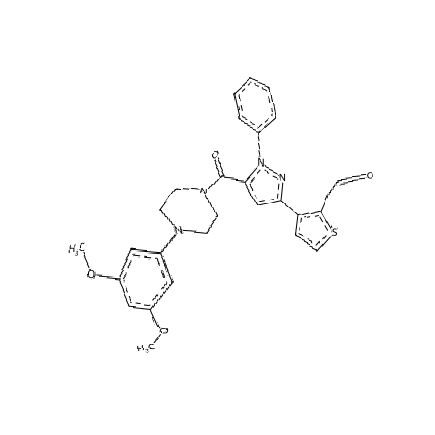 COc1cc(OC)cc(N2CCN(C(=O)c3cc(-c4ccsc4C=O)nn3-c3ccccc3)CC2)c1